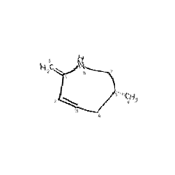 C=C1C=CC[C@@H](C)CN1